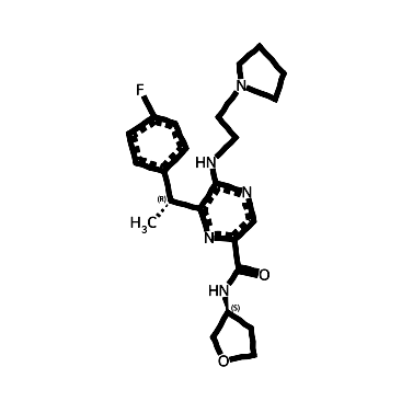 C[C@H](c1ccc(F)cc1)c1nc(C(=O)N[C@H]2CCOC2)cnc1NCCN1CCCC1